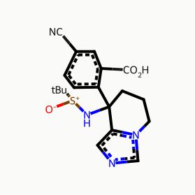 CC(C)(C)[S+]([O-])NC1(c2ccc(C#N)cc2C(=O)O)CCCn2cncc21